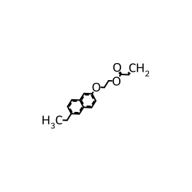 C=CC(=O)OCCOc1ccc2cc(CC)ccc2c1